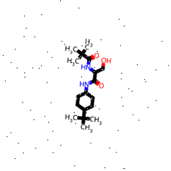 CC(C)(C)C(=O)NC(CO)C(=O)NC1CCC(C(C)(C)C)CC1